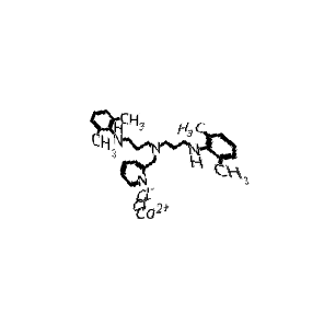 Cc1cccc(C)c1NCCCN(CCCNc1c(C)cccc1C)Cc1ccccn1.[Cl-].[Cl-].[Co+2]